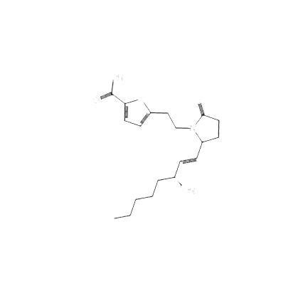 CCCCC[C@H](O)/C=C/C1CCC(=O)N1CCc1ccc(C(=O)O)s1